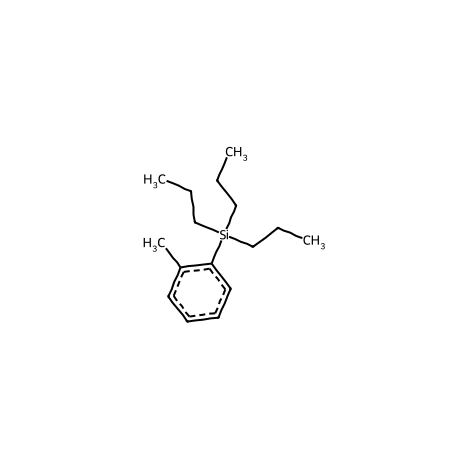 CCC[Si](CCC)(CCC)c1ccccc1C